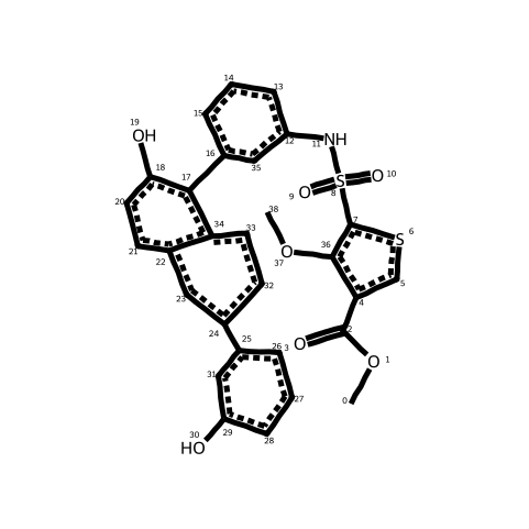 COC(=O)c1csc(S(=O)(=O)Nc2cccc(-c3c(O)ccc4cc(-c5cccc(O)c5)ccc34)c2)c1OC